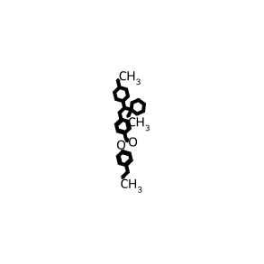 CCCc1ccc(OC(=O)c2ccc(CC(C3CCC(CC)CC3)C3(CC)CCCCC3)cc2)cc1